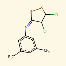 FC(F)(F)c1cc(N=C2SSC(Cl)C2Cl)cc(C(F)(F)F)c1